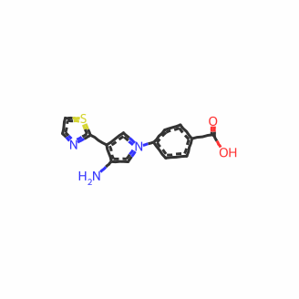 Nc1cn(-c2ccc(C(=O)O)cc2)cc1-c1nccs1